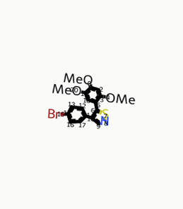 COc1cc(OC)c(-c2sncc2-c2ccc(Br)cc2)cc1OC